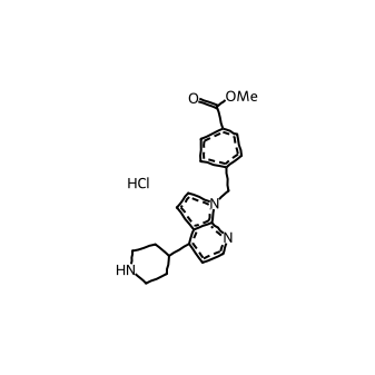 COC(=O)c1ccc(Cn2ccc3c(C4CCNCC4)ccnc32)cc1.Cl